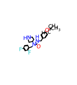 CC(C)(C)Oc1ccc(CNC(=O)N(Cc2ccc(F)cc2F)C2CCNCC2)cc1